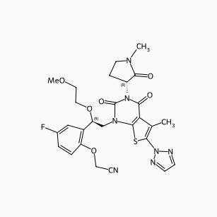 COCCO[C@@H](Cn1c(=O)n([C@@H]2CCN(C)C2=O)c(=O)c2c(C)c(-n3nccn3)sc21)c1cc(F)ccc1OCC#N